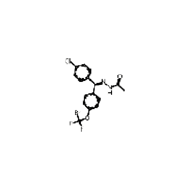 CC(=O)NN=C(c1ccc(Cl)cc1)c1ccc(OC(F)(F)Br)cc1